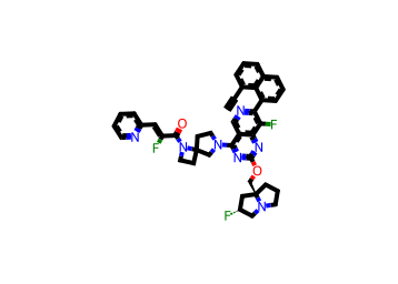 C#Cc1cccc2cccc(-c3ncc4c(N5CCC6(CCN6C(=O)/C(F)=C/c6ccccn6)C5)nc(OC[C@@]56CCCN5C[C@H](F)C6)nc4c3F)c12